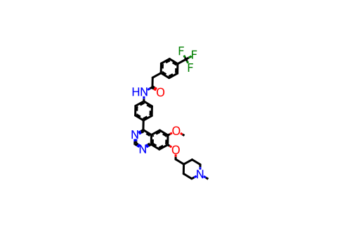 COc1cc2c(-c3ccc(NC(=O)Cc4ccc(C(F)(F)F)cc4)cc3)ncnc2cc1OCC1CCN(C)CC1